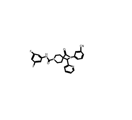 N#Cc1cccc(N2C(=O)C3(CCN(C(=O)Nc4cc(F)cc(F)c4)CC3)C2c2ccccn2)c1